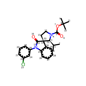 CC(C)[C@@H]1N(C(=O)OC(C)(C)C)CC[C@@]12C(=O)N(c1cccc(Cl)c1)c1ccccc12